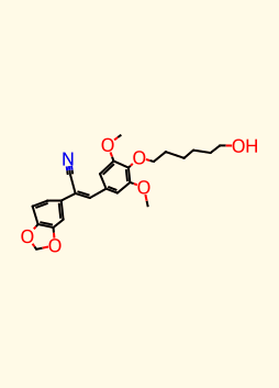 COc1cc(C=C(C#N)c2ccc3c(c2)OCO3)cc(OC)c1OCCCCCCO